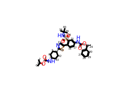 CC(C)OC(=O)N[C@H]1CC[C@H](c2ncc(-c3ccc(NC(=O)O[C@@H](C)c4ccccc4)cc3S(=O)(=O)NC(C)(C)C)s2)CC1